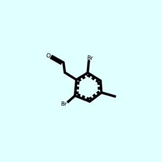 Cc1cc(Br)c(CC=O)c(Br)c1